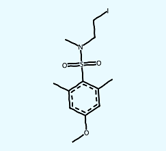 COc1cc(C)c(S(=O)(=O)N(C)CCI)c(C)c1